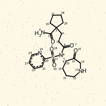 NC(=O)C1(C[CH]C(=O)N([C@H]2CCCNCC2=O)S(=O)(=O)c2ccccn2)CCCC1